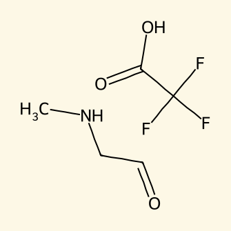 CNCC=O.O=C(O)C(F)(F)F